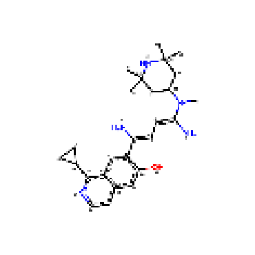 CN(/C(N)=C/C=C(\N)c1cc2c(C3CC3)nccc2cc1O)C1CC(C)(C)NC(C)(C)C1